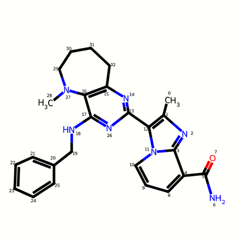 Cc1nc2c(C(N)=O)cccn2c1-c1nc2c(c(NCc3ccccc3)n1)N(C)CCCC2